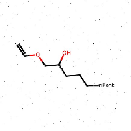 C=COCC(O)CCCCCCCC